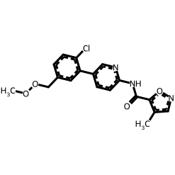 COOCc1ccc(Cl)c(-c2ccc(NC(=O)c3oncc3C)nc2)c1